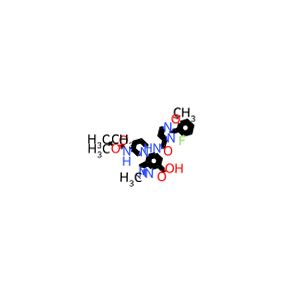 COc1cccc(F)c1-c1nccc(C(=O)Nc2cc(C(=O)O)c3nn(C)cc3c2N2CCCC(NC(=O)OC(C)(C)C)C2)n1